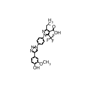 CCc1nn(-c2ccc(-n3cc(-c4ccc(O)c(OC)c4)nn3)cc2)c(C(F)(F)F)c1C(=O)O